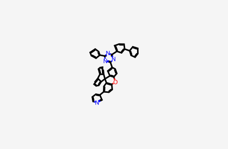 c1ccc(-c2cccc(-c3nc(-c4ccccc4)nc(-c4ccc5c(c4)C4(c6cc(-c7cccnc7)ccc6O5)c5ccccc5-c5ccccc54)n3)c2)cc1